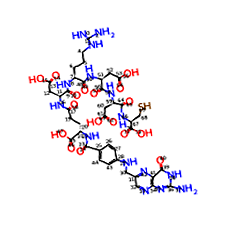 N=C(N)NCCC[C@H](NC(=O)[C@H](CC(=O)O)NC(=O)CC[C@H](NC(=O)c1ccc(NCc2cnc3nc(N)[nH]c(=O)c3n2)cc1)C(=O)O)C(=O)N[C@@H](CC(=O)O)C(=O)N[C@H](CC(=O)O)C(=O)N[C@@H](CS)C(=O)O